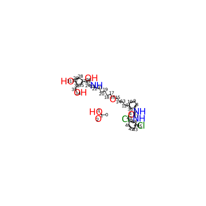 CC(=O)O.O=C(Nc1cccc(CCCCOCCCCCCNC[C@H](O)c2ccc(O)c(CO)c2)c1)Nc1c(Cl)cccc1Cl